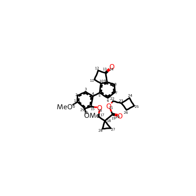 COc1ccc(-c2cccc3c2CCC3=O)c(OCC2(C(=O)OCC3CCC3)CC2)c1OC